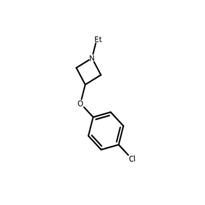 CCN1CC(Oc2ccc(Cl)cc2)C1